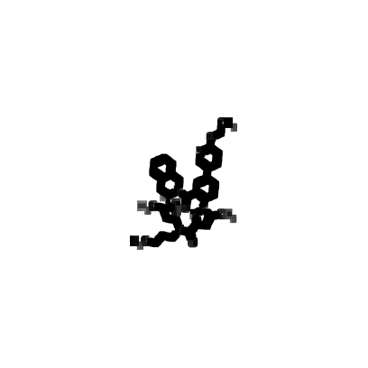 CCCCN(CCCC)C(=O)c1cc(C)n(-c2ccc(-c3ccc(OCC)nc3)cc2C(=O)N2Cc3ccccc3C[C@H]2CO)n1